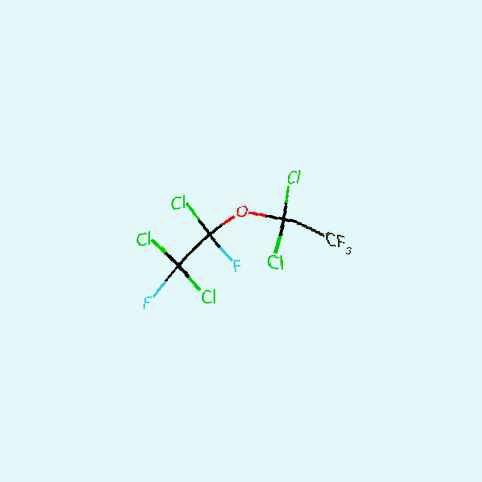 FC(F)(F)C(Cl)(Cl)OC(F)(Cl)C(F)(Cl)Cl